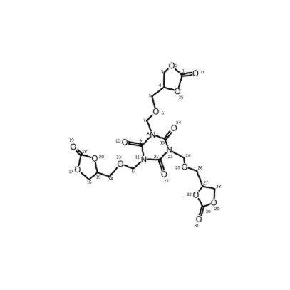 O=C1OCC(COCn2c(=O)n(COCC3COC(=O)O3)c(=O)n(COCC3COC(=O)O3)c2=O)O1